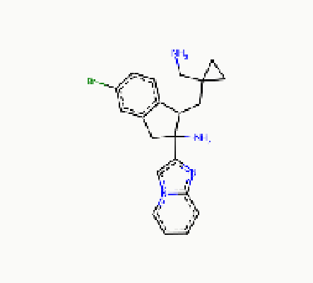 NCC1(CC2c3ccc(Br)cc3CC2(N)c2cn3ccccc3n2)CC1